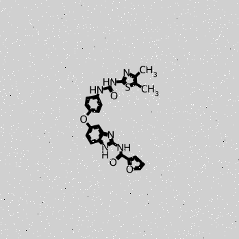 Cc1nc(NC(=O)Nc2ccc(Oc3ccc4[nH]c(NC(=O)c5ccco5)nc4c3)cc2)sc1C